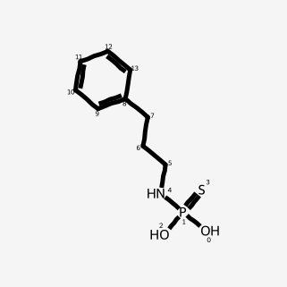 OP(O)(=S)NCCCc1ccccc1